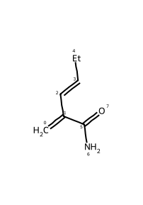 C=C(/C=C/CC)C(N)=O